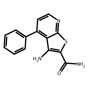 NC(=O)c1sc2nccc(-c3ccccc3)c2c1N